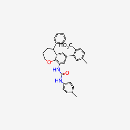 Cc1ccc(NC(=O)Nc2cc(-c3cc(C)ccc3C(=O)O)cc3c2OCCCC3c2ccccc2)cc1